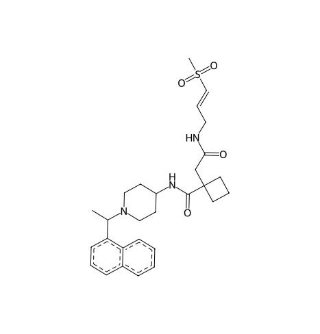 CC(c1cccc2ccccc12)N1CCC(NC(=O)C2(CC(=O)NCC=CS(C)(=O)=O)CCC2)CC1